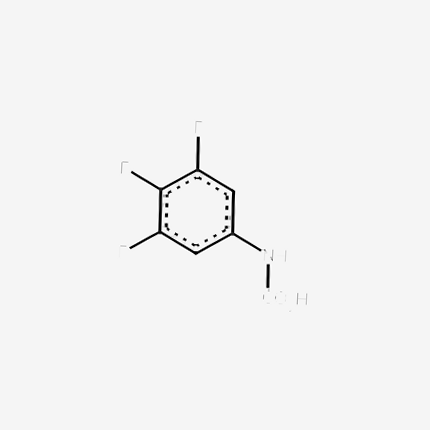 O=C(O)Nc1cc(F)c(F)c(F)c1